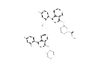 COCOc1cc(C(F)(F)F)ccc1-c1nnc(N[C@@H]2CCCN(C(=O)OC(C)(C)C)C2)c2cnccc12.Cl.Oc1cc(C(F)(F)F)ccc1-c1nnc(N[C@@H]2CCCNC2)c2cnccc12